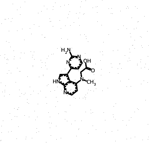 CN(CC(=O)O)c1ccnc2[nH]cc(-c3ccnc(N)n3)c12